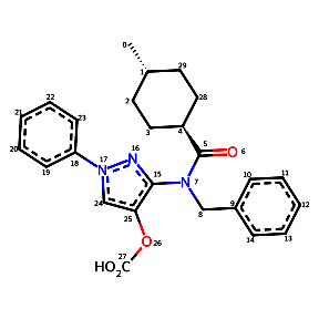 C[C@H]1CC[C@H](C(=O)N(Cc2ccccc2)c2nn(-c3ccccc3)cc2OC(=O)O)CC1